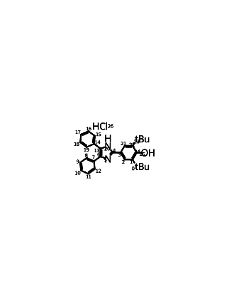 CC(C)(C)c1cc(-c2nc(-c3ccccc3)c(-c3ccccc3)[nH]2)cc(C(C)(C)C)c1O.Cl